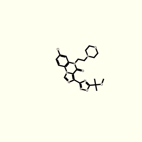 COC(C)(C)c1nc(-c2ncn3c2c(=O)n(CCN2CCOCC2)c2cc(Cl)ccc23)no1